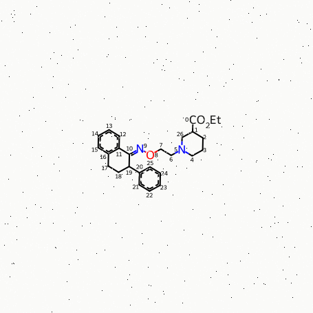 CCOC(=O)C1CCCN(CCON=C2c3ccccc3CCC2c2ccccc2)C1